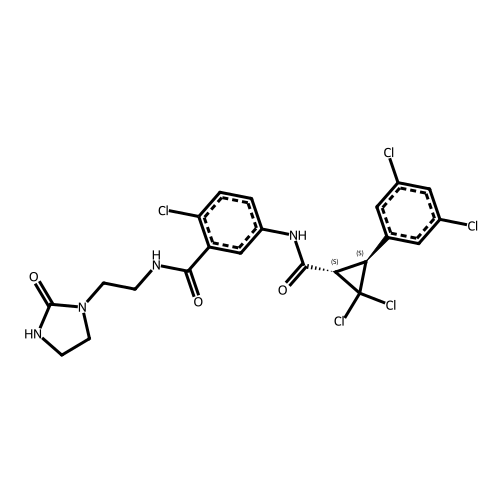 O=C(NCCN1CCNC1=O)c1cc(NC(=O)[C@@H]2[C@@H](c3cc(Cl)cc(Cl)c3)C2(Cl)Cl)ccc1Cl